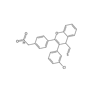 O=[SH](=O)Cc1ccc(C2=C(c3cccc(Cl)c3)C(C=S)c3ccccc3O2)cc1